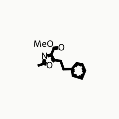 COC(=O)c1nc(C)oc1CCc1ccccc1